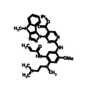 C=CC(=O)Nc1cc(Nc2ncc(C(=O)OC(C)C)c(-n3nnc4c3c3ccccc3n4C)n2)c(OC)cc1N(C)CCN(C)C